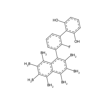 Bc1c(B)c(B)c2c(-c3cccc(-c4c(O)cccc4O)c3F)c(B)c(B)c(B)c2c1B